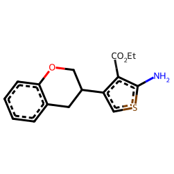 CCOC(=O)c1c(C2COc3ccccc3C2)csc1N